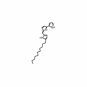 CCCCCCCCCCCc1ccc(C=C2C=CC(c3ccc[nH]3)=N2)[nH]1